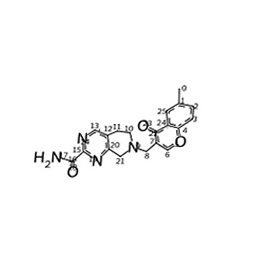 Cc1ccc2occ(CN3CCc4[c]nc(C(N)=O)nc4C3)c(=O)c2c1